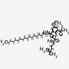 CCCCCCCCCCCCCCCCCCNC(=O)c1cc(OC)cc(C(C)=O)c1COC(=O)NCCCN(C)C